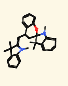 CN1C(=CC2CC3(Oc4ccccc42)N(C)c2ccccc2C3(C)C)C(C)(C)c2ccccc21